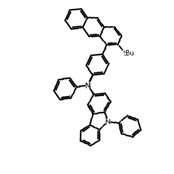 CC(C)(C)c1ccc2cc3ccccc3cc2c1-c1ccc(N(c2ccccc2)c2ccc3c(c2)c2ccccc2n3-c2ccccc2)cc1